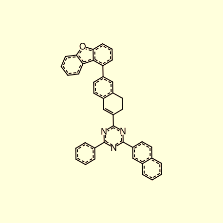 C1=C(c2nc(-c3ccccc3)nc(-c3ccc4ccccc4c3)n2)CCc2cc(-c3cccc4oc5ccccc5c34)ccc21